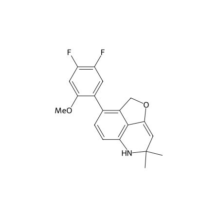 COc1cc(F)c(F)cc1-c1ccc2c3c1COC3=CC(C)(C)N2